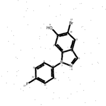 Oc1cc2c(cnn2-c2ccc(F)cc2)cc1Br